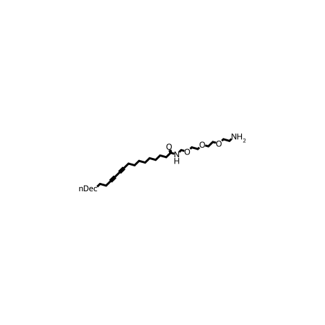 CCCCCCCCCCCCC#CC#CCCCCCCCCC(=O)NCOCCOCCOCCN